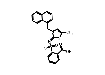 Cc1cn(Cc2cccc3ccccc23)/c(=N/S(=O)(=O)c2ccccc2C(=O)O)s1